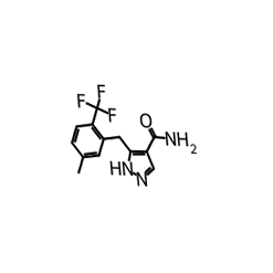 Cc1ccc(C(F)(F)F)c(Cc2[nH]ncc2C(N)=O)c1